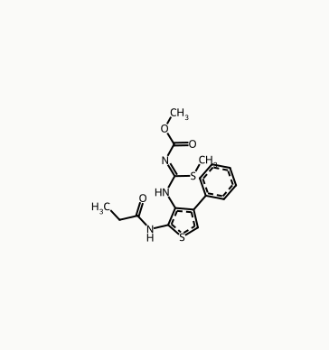 CCC(=O)Nc1scc(-c2ccccc2)c1NC(=NC(=O)OC)SC